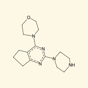 C1Cc2nc(N3CCNCC3)nc(N3CCOCC3)c2C1